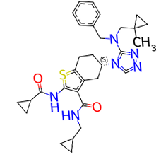 CC1(CN(Cc2ccccc2)c2nncn2[C@H]2CCc3sc(NC(=O)C4CC4)c(C(=O)NCC4CC4)c3C2)CC1